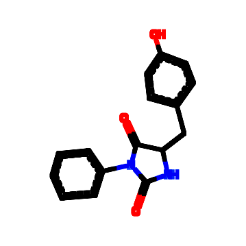 O=C1NC(Cc2ccc(O)cc2)C(=O)N1c1ccccc1